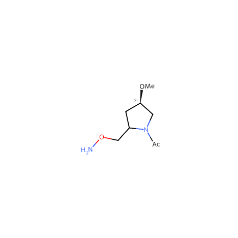 CO[C@@H]1CC(CON)N(C(C)=O)C1